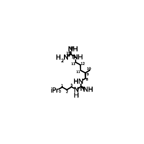 CC(C)CCCNC(=N)NCC(C)CCCNC(=N)N